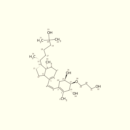 CC1=C(/C=C\C2=CCC[C@@]3(C)C2CC[C@@H]3[C@H](C)CCCC(C)(C)O)C[C@@H](O)[C@@H](OCCCO)[C@@H]1O